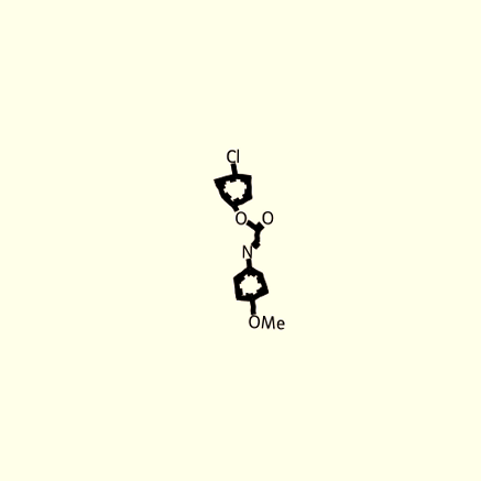 COc1ccc(N=CC(=O)Oc2ccc(Cl)cc2)cc1